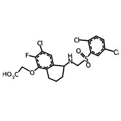 O=C(O)COc1c(F)c(Cl)cc2c1CCCC2NCS(=O)(=O)c1cc(Cl)ccc1Cl